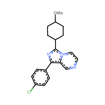 COC1CCC(c2nc(-c3ccc(Cl)cc3)c3cnccn23)CC1